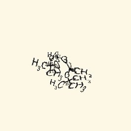 C=C(OC(=C)OC(C)(C)C)OC(C)(C)C